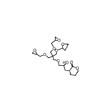 O=C1OCCCC1CC(O)COCC(COCC1CO1)(COCC1CO1)COC1CCO1